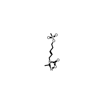 Cc1noc(=O)n1CC=CCCOS(C)(=O)=O